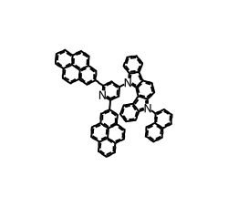 c1ccc2c(-n3c4ccccc4c4c3ccc3c5ccccc5n(-c5cc(-c6cc7ccc8cccc9ccc(c6)c7c89)nc(-c6cc7ccc8cccc9ccc(c6)c7c89)c5)c34)cccc2c1